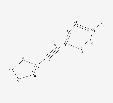 Cc1ccc(C#CC2=CCCC2)cc1